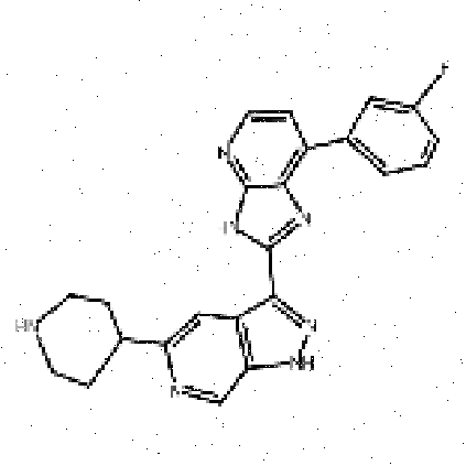 Fc1cccc(-c2ccnc3[nH]c(-c4n[nH]c5cnc(C6CCNCC6)cc45)nc23)c1